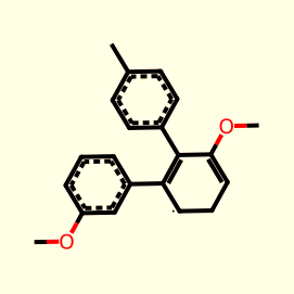 COC1=CC[CH]C(c2cccc(OC)c2)=C1c1ccc(C)cc1